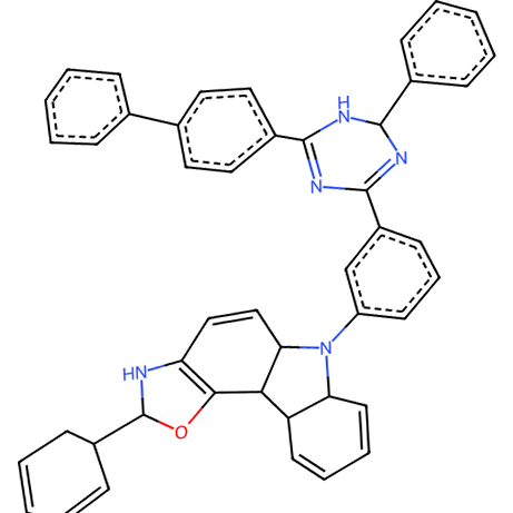 C1=CCC(C2NC3=C(O2)C2C4C=CC=CC4N(c4cccc(C5=NC(c6ccccc6)NC(c6ccc(-c7ccccc7)cc6)=N5)c4)C2C=C3)C=C1